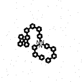 c1ccc(-c2cccc(-c3cccc(-c4ccc(-c5nc(-c6ccc(-c7cccc(-c8cccc(-c9cccc(-c%10ccc%11c(c%10)C%10(c%12ccccc%12-c%12ccccc%12%10)c%10ccccc%10-%11)c9)c8)c7)cc6)nc(-c6cccc(-c7cccc(-c8ccccc8)c7)c6)n5)cc4)c3)c2)cc1